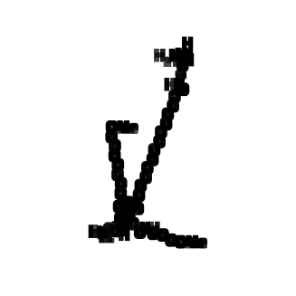 CCN(CC)c1ccc2cc(C(=O)NC(COCCC(=O)NCCOCCOCCOCCOC)(COCCC(=O)NCCOCCOCCOCCOCCOCCOCCOCCOC)COCCC(=O)NCCOCCOCCOCCOCCOCCOCCOCCOCCOCCOCCOCCOCCC(=O)NCc3ccc(COc4nc(N)nc5[nH]cnc45)cc3)c(=O)oc2c1